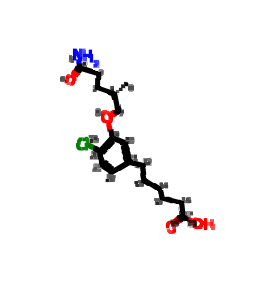 C[C@@H](CCC(N)=O)COc1cc(CCCCCC(=O)O)ccc1Cl